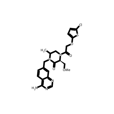 COC[C@H]1C(=O)N(Cc2ccc3c(N)ncnc3c2)C(C)CN1C(=O)COc1ccc(Cl)s1